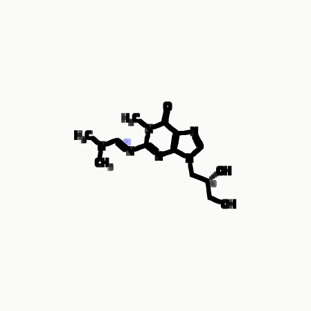 CN(C)/C=N/c1nc2c(ncn2C[C@H](O)CO)c(=O)n1C